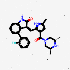 Cc1cc(C(=O)N2C[C@H](C)N[C@@H](C)C2)c(C=C2C(=O)Nc3cccc(-c4ccccc4F)c32)[nH]1